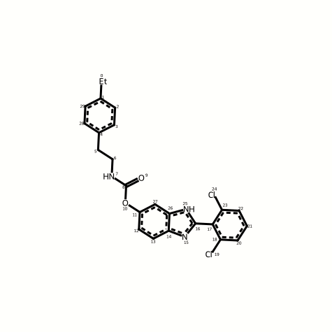 CCc1ccc(CCNC(=O)Oc2ccc3nc(-c4c(Cl)cccc4Cl)[nH]c3c2)cc1